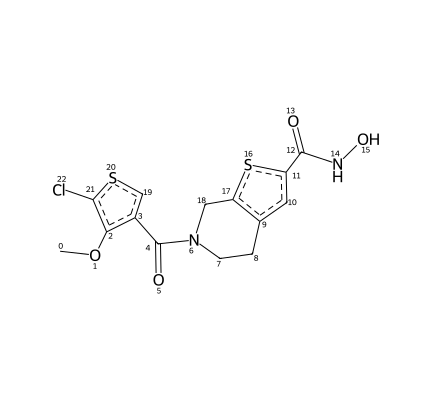 COc1c(C(=O)N2CCc3cc(C(=O)NO)sc3C2)csc1Cl